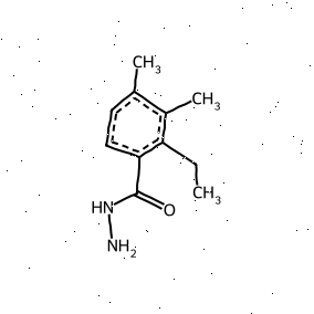 CCc1c(C(=O)NN)ccc(C)c1C